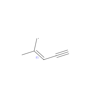 C#C/C=C(\[CH2])C